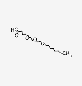 CCCCCCCCCOCCOCCOCCCC(=O)O